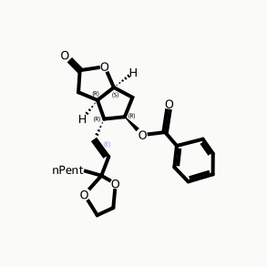 CCCCCC1(/C=C/[C@@H]2[C@H]3CC(=O)O[C@H]3C[C@H]2OC(=O)c2ccccc2)OCCO1